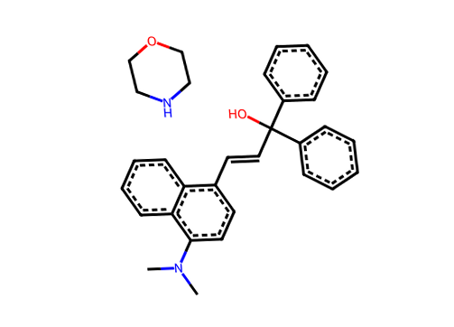 C1COCCN1.CN(C)c1ccc(C=CC(O)(c2ccccc2)c2ccccc2)c2ccccc12